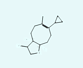 C/C1=C(\C2CC2)CC[C@H]2NCC(N=O)[C@H]2CC1